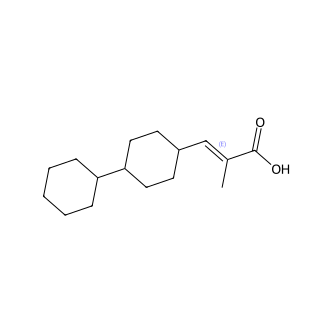 C/C(=C\C1CCC(C2CCCCC2)CC1)C(=O)O